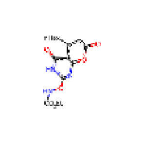 CCCCCCc1cc(=O)oc2nc(ONC(=O)OCC)[nH]c(=O)c12